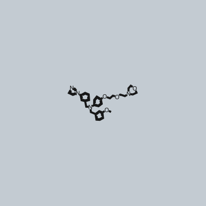 COc1cccc(CN(Cc2cccc(-n3ccnc3)c2)c2ccc(OCCOCCN3CCOCC3)cc2)c1